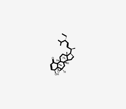 CC[C@H](/C=C/[C@@H](C)[C@H]1CC[C@H]2[C@@H]3C[C@H]4O[C@]45[C@@H](O)C=CC(=O)[C@]5(C)[C@H]3CC[C@]12C)C(C)C